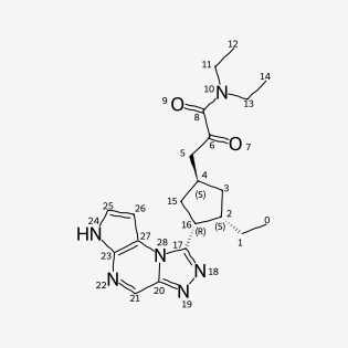 CC[C@H]1C[C@H](CC(=O)C(=O)N(CC)CC)C[C@H]1c1nnc2cnc3[nH]ccc3n12